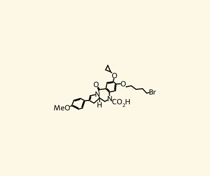 COc1ccc(C2=CN3C(=O)c4cc(OC5CC5)c(OCCCCCBr)cc4N(C(=O)O)C[C@@H]3C2)cc1